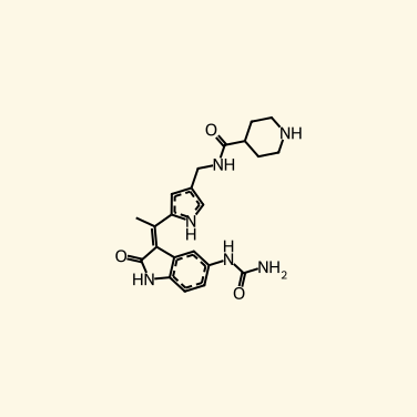 C/C(=C1\C(=O)Nc2ccc(NC(N)=O)cc21)c1cc(CNC(=O)C2CCNCC2)c[nH]1